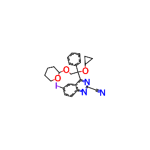 N#Cc1nc(C(COC2CCCCO2)(OC2CC2)c2ccccc2)c2cc(I)ccc2n1